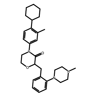 Cc1cc(N2CCOC(Cc3ccccc3N3CCN(C)CC3)C2=O)ccc1C1CCCCC1